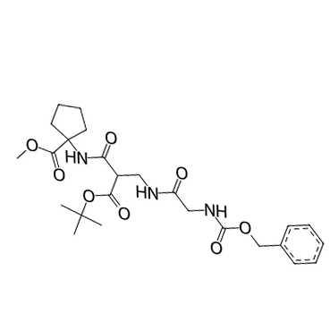 COC(=O)C1(NC(=O)C(CNC(=O)CNC(=O)OCc2ccccc2)C(=O)OC(C)(C)C)CCCC1